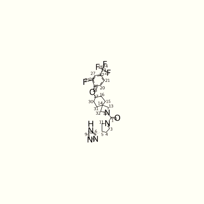 O=C(N1CC[C@H](c2nnc[nH]2)C1)N1CC2(CCC(Oc3ccc(C(F)(F)F)cc3F)CC2)C1